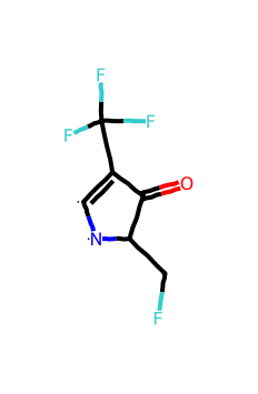 O=C1C(C(F)(F)F)=[C][N]C1CF